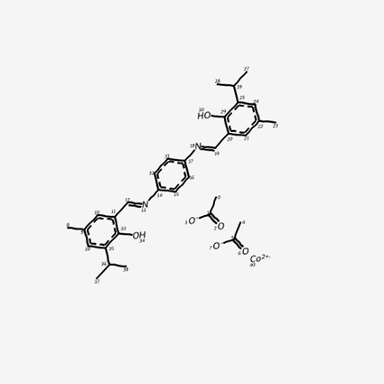 CC(=O)[O-].CC(=O)[O-].Cc1cc(C=Nc2ccc(N=Cc3cc(C)cc(C(C)C)c3O)cc2)c(O)c(C(C)C)c1.[Co+2]